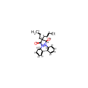 C=CCC1(C/C=C/CC)C(=O)N(c2ccccc2)N(c2ccccc2)C1=O